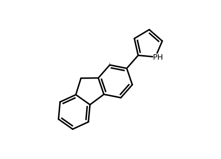 [c]1c(-c2ccc[pH]2)ccc2c1Cc1ccccc1-2